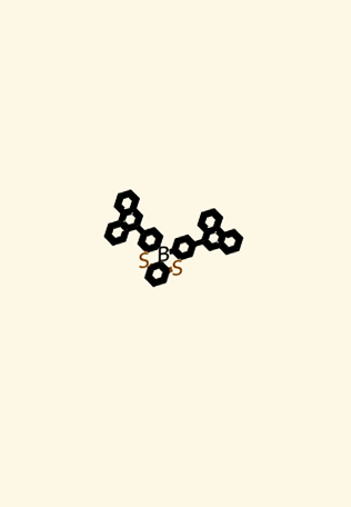 c1cc2c3c(c1)Sc1cc(-c4cc5ccccc5c5ccccc45)ccc1B3c1ccc(-c3cc4ccccc4c4ccccc34)cc1S2